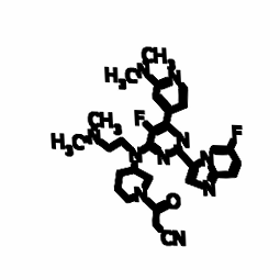 CN(C)CCN(c1nc(-c2cnc3ccc(F)cn23)nc(-c2ccnc(N(C)C)c2)c1F)C1CCCN(C(=O)CC#N)C1